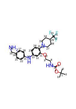 CC(C)(C)OC(=O)NCCOc1cc(Nc2ccc(CN)cc2)ccc1N1CCC(C(F)(F)F)CC1